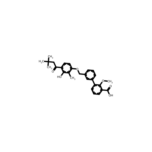 COc1c(C(=O)O)cccc1-c1cccc(COc2ccc(C(=O)CC(C)(C)C)c(O)c2C)c1